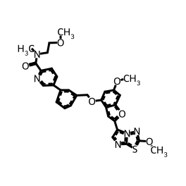 COCCN(C)C(=O)c1ccc(-c2cccc(COc3cc(OC)cc4oc(-c5cnc6sc(OC)nn56)cc34)c2)cn1